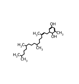 CC(=CCC1C=C(O)C=C(C)C1O)CCCC(C)CCCC(C)CCCC(C)C